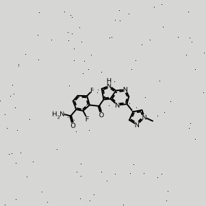 Cn1cc(-c2cnc3[nH]cc(C(=O)c4c(F)ccc(C(N)=O)c4F)c3n2)cn1